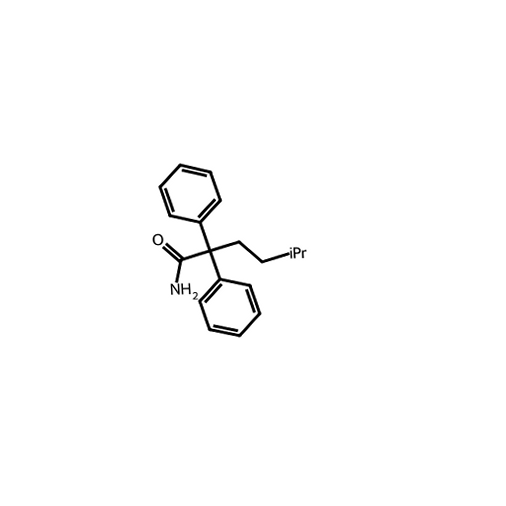 CC(C)CCC(C(N)=O)(c1ccccc1)c1ccccc1